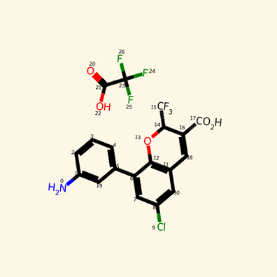 Nc1cccc(-c2cc(Cl)cc3c2OC(C(F)(F)F)C(C(=O)O)=C3)c1.O=C(O)C(F)(F)F